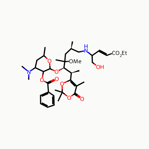 CCOC(=O)/C=C/C(CO)NC[C@H](C)CC(C)(OC)[C@H](OC1OC(C)CC(N(C)C)C1OC(=O)c1ccccc1)[C@@H](C)C1=C(C)C(=O)OC(C)(C)O1